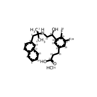 CC(C)(Cc1ccc2ccccc2c1)NC[C@@H](O)c1cc(CCC(=O)O)cc(F)c1F.Cl